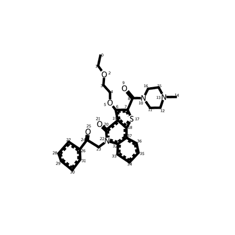 CCOCCOc1c(C(=O)N2CCN(C)CC2)sc2c1c(=O)n(CC(=O)c1ccccc1)c1ccccc21